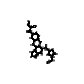 C=CC(=O)Nc1ccc(F)c(Oc2nc(Nc3cnn(CC(C)C)c3)nn3cccc23)c1